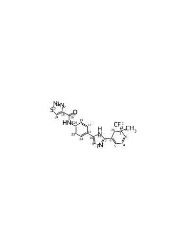 CC1(C(F)(F)F)C=CC=C(c2ncc(-c3ccc(NC(=O)c4csnn4)cc3)[nH]2)C1